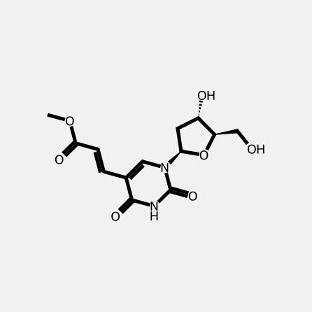 COC(=O)C=Cc1cn([C@H]2C[C@H](O)[C@@H](CO)O2)c(=O)[nH]c1=O